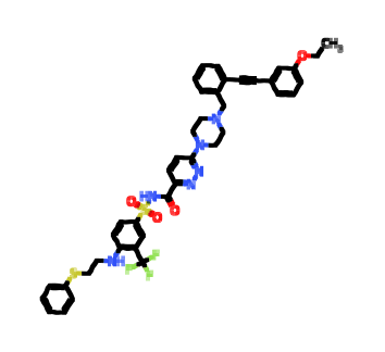 CCOc1cccc(C#Cc2ccccc2CN2CCN(c3ccc(C(=O)NS(=O)(=O)c4ccc(NCCSc5ccccc5)c(C(F)(F)F)c4)nn3)CC2)c1